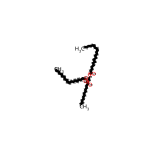 CCCCC/C=C\C/C=C\CCCCCCCCCCCC(=O)OC[C@@H](COC(=O)CCCCCCCCCCCC)OC(=O)CCCCCCC/C=C\CCCCCCCCC